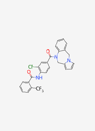 O=C(Nc1ccc(C(=O)N2Cc3cccn3Cc3ccccc32)cc1Cl)c1ccccc1C(F)(F)F